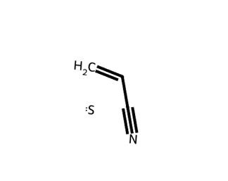 C=CC#N.[S]